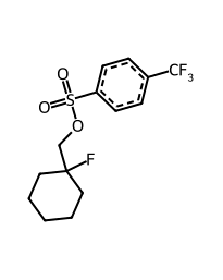 O=S(=O)(OCC1(F)CCCCC1)c1ccc(C(F)(F)F)cc1